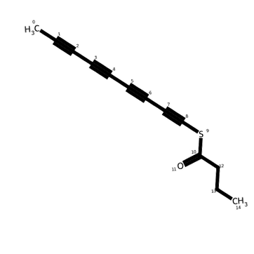 CC#CC#CC#CC#CSC(=O)CCC